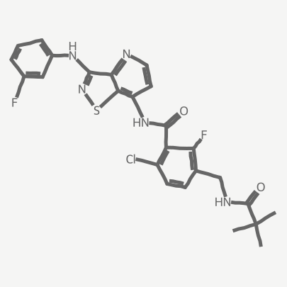 CC(C)(C)C(=O)NCc1ccc(Cl)c(C(=O)Nc2ccnc3c(Nc4cccc(F)c4)nsc23)c1F